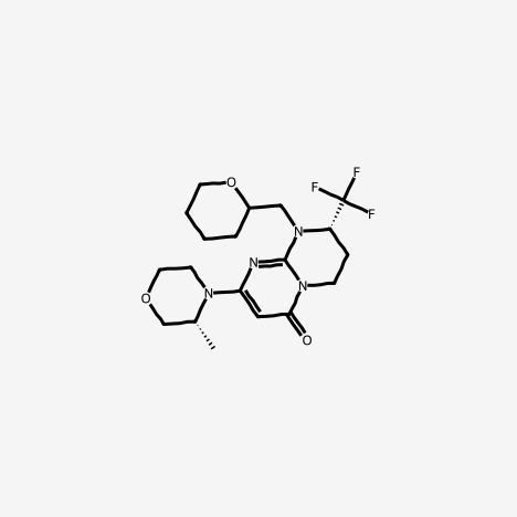 C[C@@H]1COCCN1c1cc(=O)n2c(n1)N(CC1CCCCO1)[C@H](C(F)(F)F)CC2